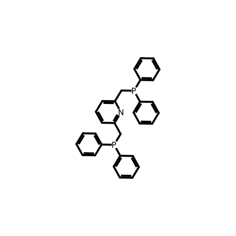 c1ccc(P(Cc2cccc(CP(c3ccccc3)c3ccccc3)n2)c2ccccc2)cc1